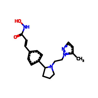 Cc1ccnn1CCN1CCCC1c1ccc(C=CC(=O)NO)cc1